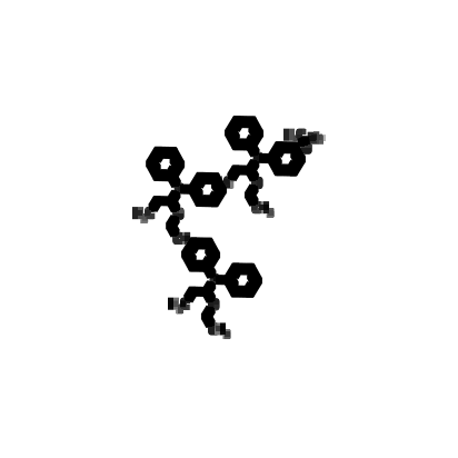 C=O.CCOC(CC)P(c1ccccc1)c1ccccc1.CCOC(CC)P(c1ccccc1)c1ccccc1.CCOC(CC)P(c1ccccc1)c1ccccc1.[Rh]